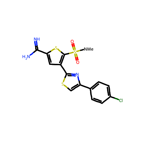 CNS(=O)(=O)c1sc(C(=N)N)cc1-c1nc(-c2ccc(Cl)cc2)cs1